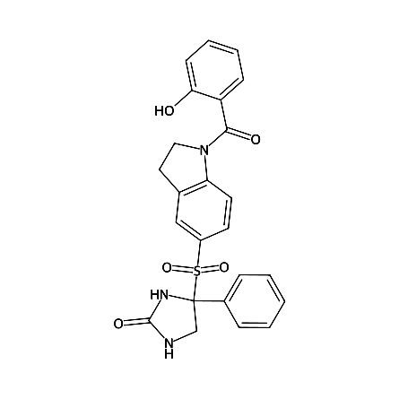 O=C1NCC(c2ccccc2)(S(=O)(=O)c2ccc3c(c2)CCN3C(=O)c2ccccc2O)N1